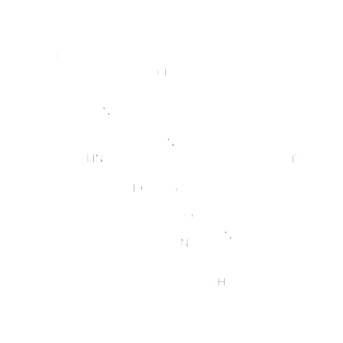 CCC(Nc1ccc(C(F)(F)F)cn1)C1CC(C)CN1C(=O)c1ccc(F)cc1-c1nc(C)no1